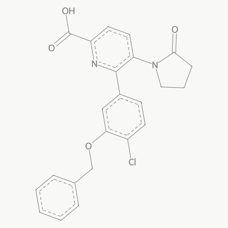 O=C(O)c1ccc(N2CCCC2=O)c(-c2ccc(Cl)c(OCc3ccccc3)c2)n1